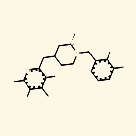 CCc1nc(CC2CCN(Cc3cccc(Cl)c3F)[C@H](C)C2)c(F)c(C)c1F